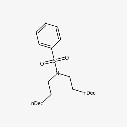 CCCCCCCCCCCCN(CCCCCCCCCCCC)S(=O)(=O)c1cc[c]cc1